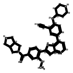 COc1cc(C(=O)N2CC3COCC3C2)ccc1-c1cc2nccc(-c3ccc(OC4CCOCC4)c(C#N)c3)c2o1